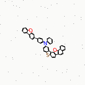 c1ccc(N(c2ccc(-c3ccc4c(c3)oc3ccccc34)cc2)c2ccc3sc4ccc5c6ccc7ccccc7c6oc5c4c3c2)cc1